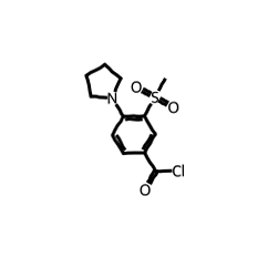 CS(=O)(=O)c1cc(C(=O)Cl)ccc1N1CCCC1